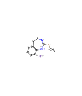 CSC1=NCCc2ccccc2N1.I